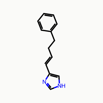 C(=Cc1c[nH]cn1)CCc1ccccc1